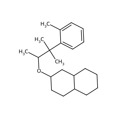 Cc1ccccc1C(C)(C)C(C)OC1CCC2CCCCC2C1